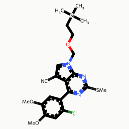 COc1cc(Cl)c(-c2nc(SC)nc3c2c(C#N)cn3COCC[Si](C)(C)C)cc1OC